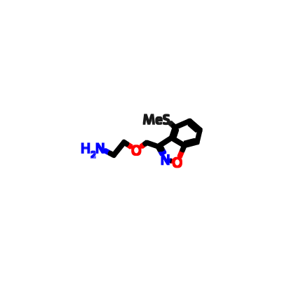 CSc1cccc2onc(COCCN)c12